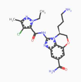 CCn1nc(C)c(Cl)c1C(=O)Nc1nc2cc(C(N)=O)cc3c2n1[C@@H](CCCN)CO3